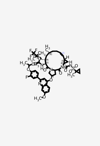 CC[C@@H]1C[C@H](C)CC/C=C\[C@@H]2C[C@@]2(C(=O)NS(=O)(=O)C2(C)CC2)NC(=O)C2C[C@@H](Oc3cc(-c4ccc(OC(C)C)c(F)c4)nc4cc(OC)ccc34)CN2C(=O)[C@H]1NC(=O)OC(C)(C)C(F)(F)F